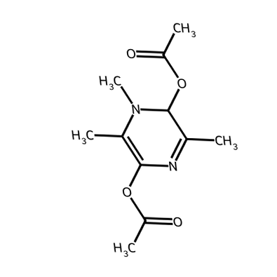 CC(=O)OC1=C(C)N(C)C(OC(C)=O)C(C)=N1